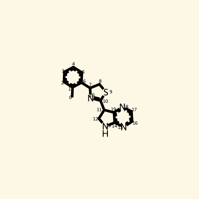 Cc1ccccc1C1CSC(C2CNc3nccnc32)=N1